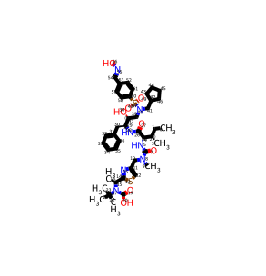 CC[C@H](C)[C@H](NC(=O)N(C)Cc1csc([C@H](C)N(C(=O)O)C(C)(C)C)n1)C(=O)N[C@@H](Cc1ccccc1)[C@H](O)CN(CC1CCCC1)S(=O)(=O)c1ccc(C=NO)cc1